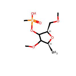 B[C@@H]1O[C@H](COC)C(OP(C)(=O)O)C1OC